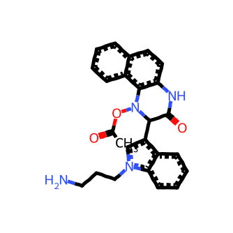 CC(=O)ON1c2c(ccc3ccccc23)NC(=O)C1c1cn(CCCN)c2ccccc12